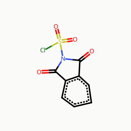 O=C1c2ccccc2C(=O)N1S(=O)(=O)Cl